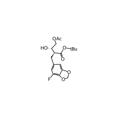 CC(=O)OC[C@@H](O)[C@H](Cc1cc(F)c2c(c1)OCO2)C(=O)OC(C)(C)C